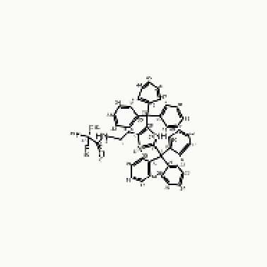 O=C(NCCc1nc(C(c2ccccc2)(c2ccccc2)c2ccccc2)[nH]c1C(c1ccccc1)(c1ccccc1)c1ccccc1)C(F)(F)F